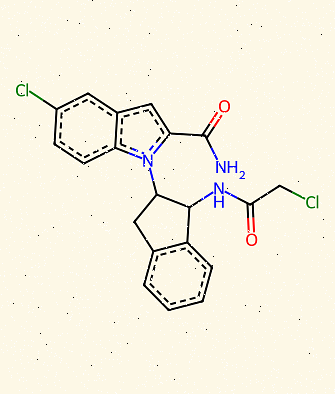 NC(=O)c1cc2cc(Cl)ccc2n1C1Cc2ccccc2C1NC(=O)CCl